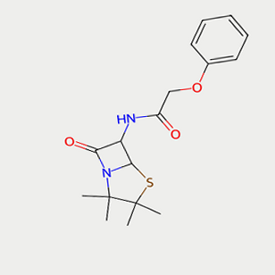 CC1(C)SC2C(NC(=O)COc3ccccc3)C(=O)N2C1(C)C